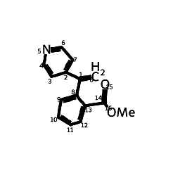 C=C(c1ccncc1)c1ccccc1C(=O)OC